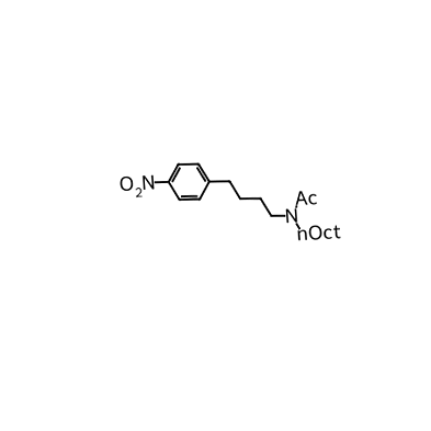 CCCCCCCCN(CCCCc1ccc([N+](=O)[O-])cc1)C(C)=O